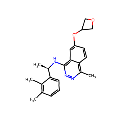 Cc1c([C@@H](C)Nc2nnc(C)c3ccc(OC4COC4)cc23)cccc1C(F)(F)F